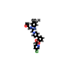 C[C@]1(c2ccc(Cl)cn2)Oc2cccc(C3=CCN(Cc4nc5ccc(C(=O)O)cc5n4C[C@@H]4CCO4)CC3)c2O1